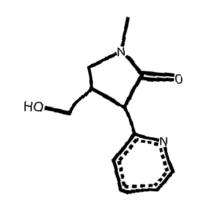 CN1CC(CO)C(c2ccccn2)C1=O